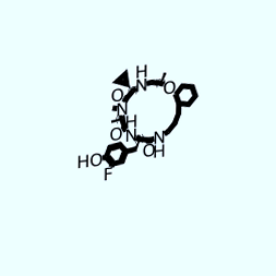 C[C@@H]1CN[C@@H](C2CC2)C(=O)N(C)[C@H](C)C(=O)N[C@H](Cc2ccc(O)c(F)c2)C(=O)NCCCC2CCCCC2O1